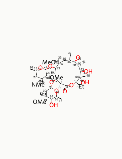 CC[C@H]1OC(=O)[C@H](C)[C@@H](O[C@H]2C[C@@](C)(OC)[C@@H](O)[C@H](C)O2)[C@H](C)[C@@H](O[C@@H]2O[C@H](C)C[C@H](NC)[C@H]2OC)[C@@](C)(OC)C[C@@H](C)C(=O)[C@H](C)[C@@H](O)[C@]1(C)O